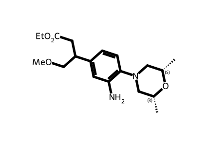 CCOC(=O)CC(COC)c1ccc(N2C[C@@H](C)O[C@@H](C)C2)c(N)c1